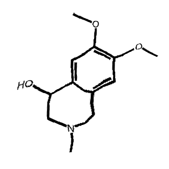 COc1cc2c(cc1OC)C(O)CN(C)C2